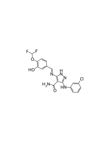 NC(=O)c1c(Nc2cccc(Cl)c2)n[nH]c1/N=C/c1ccc(OC(F)F)c(O)c1